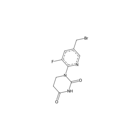 O=C1CCN(c2ncc(CBr)cc2F)C(=O)N1